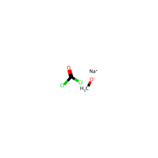 C[O-].O=C(Cl)Cl.[Na+]